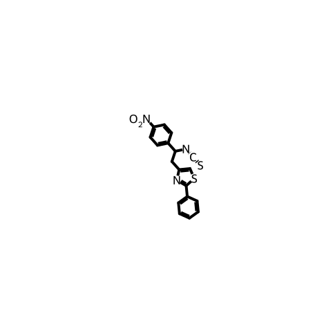 O=[N+]([O-])c1ccc(C(Cc2csc(-c3ccccc3)n2)N=C=S)cc1